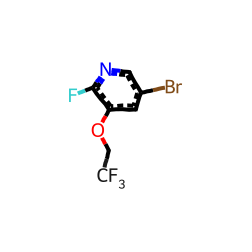 Fc1ncc(Br)cc1OCC(F)(F)F